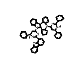 C1=C(N2c3ccccc3-c3c(n(C4=CC(c5ccccc5)NC(c5cccc6c5oc5ccccc56)=N4)c4ccccc34)-c3ccccc32)N=C(c2ccccc2)NC1c1ccccc1